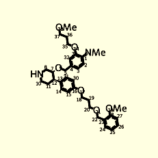 CNc1ccc(CO[C@H]2CNCC[C@@H]2c2ccc(OCCCOCc3ccccc3OC)cc2)cc1OCCCOC